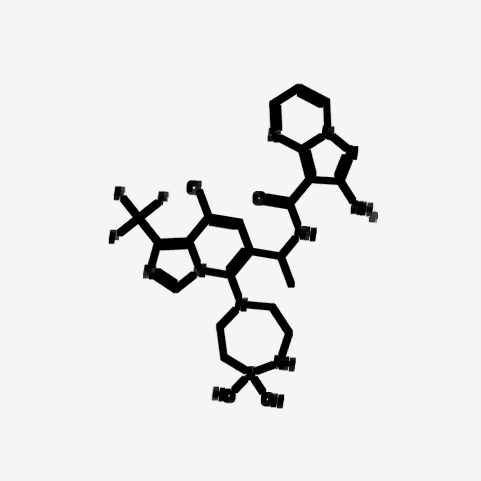 CC(NC(=O)c1c(N)nn2cccnc12)c1cc(Cl)c2c(C(F)(F)F)ncn2c1N1CCNS(O)(O)CC1